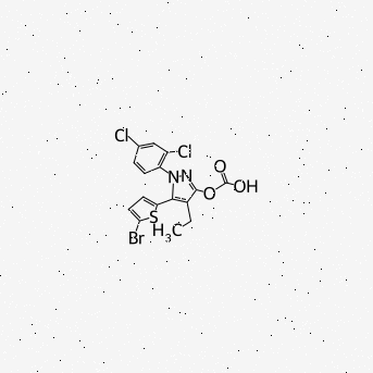 CCc1c(OC(=O)O)nn(-c2ccc(Cl)cc2Cl)c1-c1ccc(Br)s1